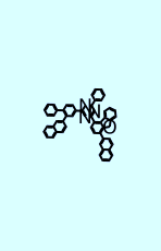 c1ccc(-c2nc(-c3ccc(-c4ccccc4)c(-c4ccc5ccccc5c4)c3)nc(-c3ccc(-c4ccc5ccccc5c4)c4oc5ccccc5c34)n2)cc1